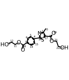 Cc1nc(-c2ccc(C(=O)OCCO)cc2)sc1C(=O)OCCO